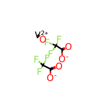 O=C([O-])C(F)(F)F.O=C([O-])C(F)(F)F.[O]=[V+2]